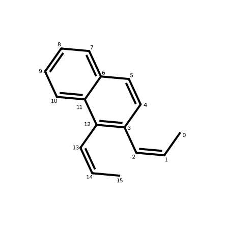 C/C=C\c1ccc2ccccc2c1/C=C\C